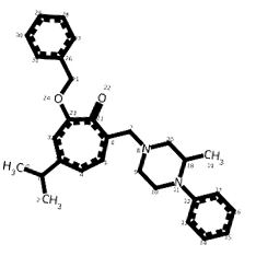 CC(C)c1ccc(CN2CCN(c3ccccc3)C(C)C2)c(=O)c(OCc2ccccc2)c1